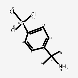 CC(C)(N)c1ccc(S(Cl)(Cl)Cl)cc1